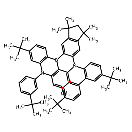 Cc1cc2c3c(c1)N(c1ccc(C(C)(C)C)cc1-c1ccc(C(C)(C)C)cc1)c1cc4c(cc1B3c1ccc(C(C)(C)C)cc1N2c1cccc(C(C)(C)C)c1)C(C)(C)CC4(C)C